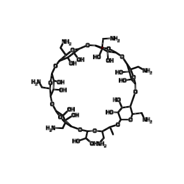 CC1OC2OC(CN)C(OC3OC(CN)C(OC4OC(CN)C(OC5OC(CN)C(OC6OC(CN)C(OC7OC(CN)C(OC(C(O)O)OC1CN)C(O)C7O)C(O)C6O)C(O)C5O)C(O)C4O)C(O)C3O)C(O)C2O